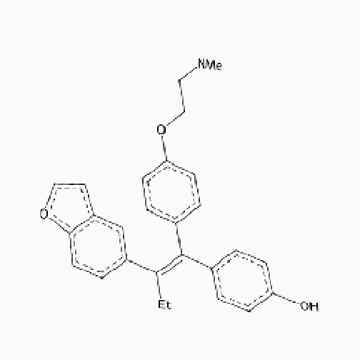 CCC(=C(c1ccc(O)cc1)c1ccc(OCCNC)cc1)c1ccc2occc2c1